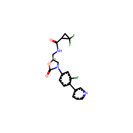 O=C(NC[C@H]1CN(c2ccc(-c3cccnc3)c(F)c2)C(=O)O1)C1CC1(F)F